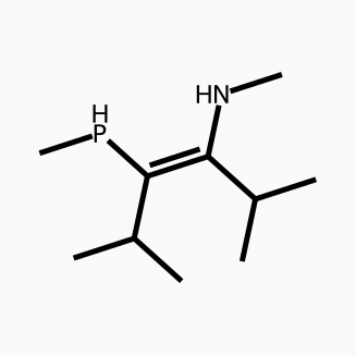 CN/C(=C(\PC)C(C)C)C(C)C